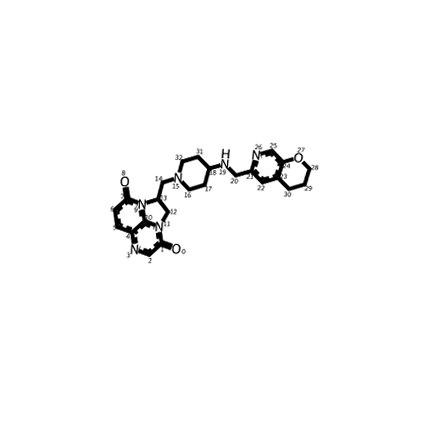 O=c1cnc2ccc(=O)n3c2n1CC3CN1CCC(NCc2cc3c(cn2)OCCC3)CC1